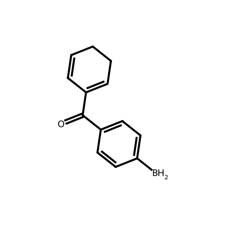 Bc1ccc(C(=O)C2=CCCC=C2)cc1